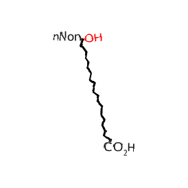 CCCCCCCCCC(O)CCCCCCCCCCCCCCCCCCC(=O)O